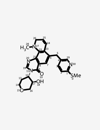 CSc1ccc(Cc2cc3c(=O)n([C@H]4CCOC[C@@H]4O)cnc3c3c2C=CCN3C)cn1